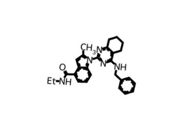 CCNC(=O)c1cccc2c1cc(C)n2-c1nc2c(c(NCc3ccccc3)n1)CCCC2